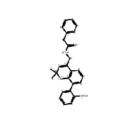 COc1ccccc1-c1cccc2c1NC(C)(C)C=C2CNC(=O)Cc1ccccc1